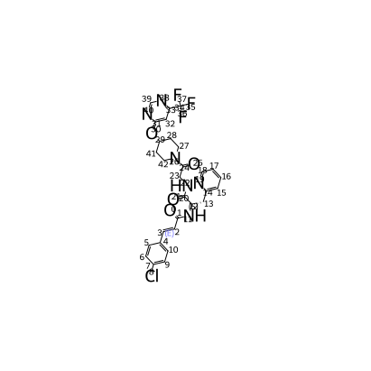 O=C(/C=C/c1ccc(Cl)cc1)N[C@@H](Cc1ccccn1)C(=O)NCC(=O)N1CCC(Oc2cc(C(F)(F)F)ncn2)CC1